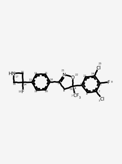 Fc1c(Cl)cc([C@]2(C(F)(F)F)CC(c3ccc(C4(F)CNC4)cc3)=NO2)cc1Cl